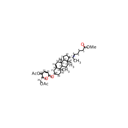 COC(=O)CCC/C=C(\C)[C@H]1CCC2[C@@H]3CC=C4C[C@@H](O[C@@H]5C=C[C@H](OC(C)=O)[C@@H](COC(C)=O)O5)CC[C@]4(C)C3CC[C@@]21C